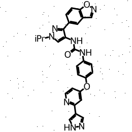 CC(C)n1cc(NC(=O)Nc2ccc(Oc3ccnc(-c4cn[nH]c4)c3)cc2)c(-c2ccc3oncc3c2)n1